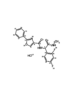 CNC(=O)C(NC(=O)c1coc(-c2ccccc2)n1)c1ccc(F)cc1F.Cl